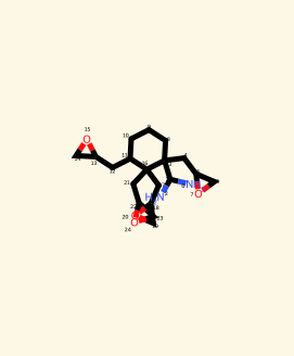 NC(N)C1(CC2CO2)CCCC(CC2CO2)C1(CC1CO1)CC1CO1